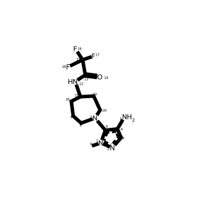 Cn1ncc(N)c1N1CCCC(NC(=O)C(F)(F)F)CC1